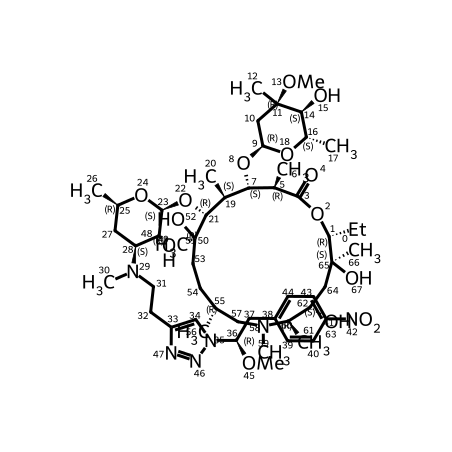 CC[C@H]1OC(=O)[C@H](C)[C@@H](O[C@H]2C[C@@](C)(OC)[C@@H](O)[C@H](C)O2)[C@H](C)[C@@H](O[C@@H]2O[C@H](C)C[C@H](N(C)CCc3cn([C@@H](Cc4ccc([N+](=O)[O-])cc4)OC)nn3)[C@H]2O)[C@](C)(O)CC[C@@H](C)CN(C)[C@H](C)[C@@H](O)C[C@]1(C)O